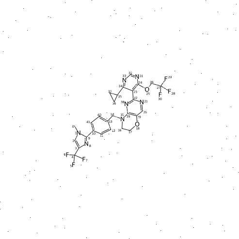 Cn1cc(C(F)(F)F)nc1-c1ccc(CN2CCOc3cnc(-c4c(OCC(F)(F)F)ncnc4C4CC4)nc32)cc1